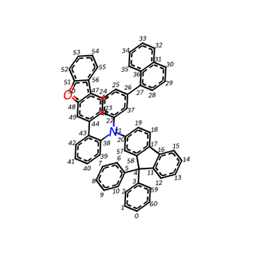 c1ccc(C2(c3ccccc3)c3ccccc3-c3ccc(N(c4cccc(-c5cccc6ccccc56)c4)c4ccccc4-c4ccc5c(c4)oc4ccccc45)cc32)cc1